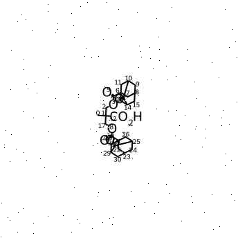 CC(COC(=O)C12CC3CC(C1)C(=O)C(C3)C2)(COC(=O)C12CC3CC(C1)C(=O)C(C3)C2)C(=O)O